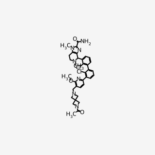 COc1nc(-c2cccc(-c3cccc(C4c5nc(C(N)=O)n(C)c5CCN4C)c3Cl)c2Cl)ccc1CN1CC2(C1)CN(C(C)=O)C2